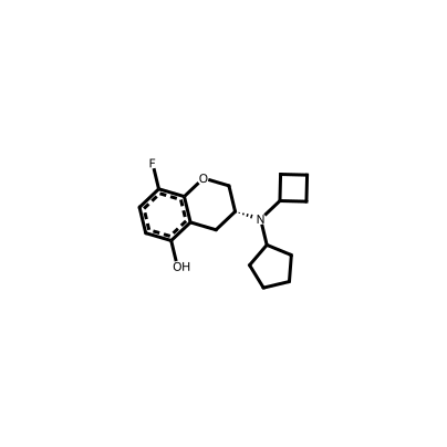 Oc1ccc(F)c2c1C[C@@H](N(C1CCCC1)C1CCC1)CO2